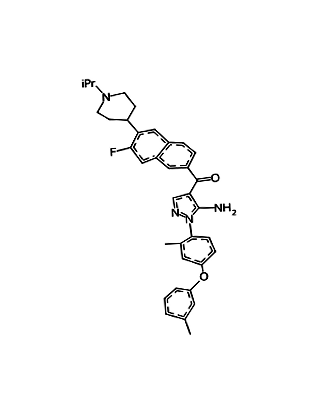 Cc1cccc(Oc2ccc(-n3ncc(C(=O)c4ccc5cc(C6CCN(C(C)C)CC6)c(F)cc5c4)c3N)c(C)c2)c1